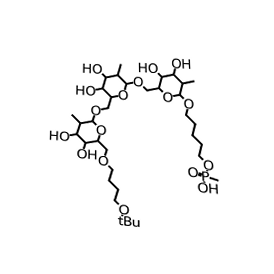 CC1C(OCC2OC(OCC3OC(OCCCCCOP(C)(=O)O)C(C)C(O)C3O)C(C)C(O)C2O)OC(COCCCCOC(C)(C)C)C(O)C1O